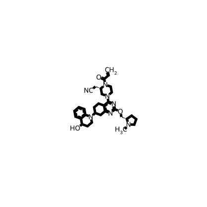 C=CC(=O)N1CCN(c2nc(OC[C@@H]3CCCN3C)nc3c2CCC(N2CCC(O)c4ccccc42)C3)C[C@@H]1CC#N